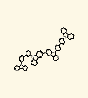 C1=CC2C3=C(C=CCC3)N(c3ccc(-c4ccc(N5C6=C(CCC=C6)C6C=C(c7ccc8c(c7)c7ccccc7n8-c7cccc(-c8cccc(-n9c%10ccccc%10c%10ccccc%109)c8)c7)C=CC65)cc4)cc3)C2C=C1